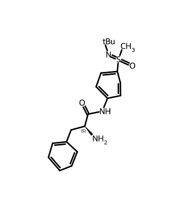 CC(C)(C)N=S(C)(=O)c1ccc(NC(=O)[C@@H](N)Cc2ccccc2)cc1